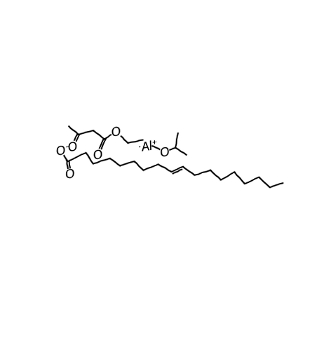 CC(C)[O][Al+].CCCCCCCCC=CCCCCCCCC(=O)[O-].CCOC(=O)CC(C)=O